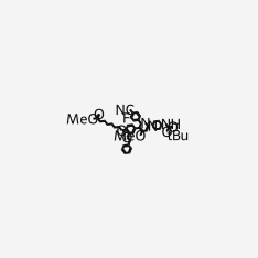 COC(=O)CCCCCCOc1ccc(-c2c(OC)cc(N3CCC(NC(=O)OC(C)(C)C)CC3)nc2-c2ccc(C#N)c(F)c2)cc1OCc1ccccc1